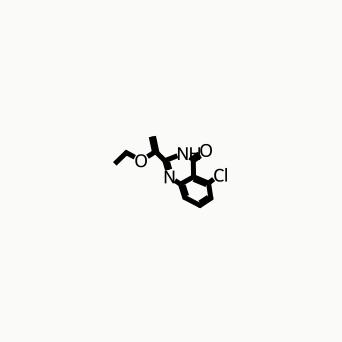 C=C(OCC)c1nc2cccc(Cl)c2c(=O)[nH]1